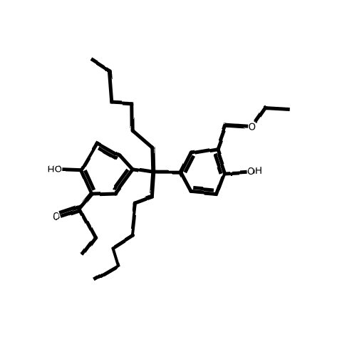 CCCCCCC(CCCCCC)(c1ccc(O)c(COCC)c1)c1ccc(O)c(C(=O)CC)c1